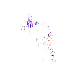 Cc1ncsc1-c1ccc(CNC(=O)[C@@H]2C[C@@H](O)CN2C(=O)C(c2cc(OCCN3CCC(O[C@H]4C[C@H](Oc5cc(N6C7CCC6CN(c6cc(-c8ccccc8O)nnc6N)C7)ccn5)C4)CC3)no2)C(C)C)cc1